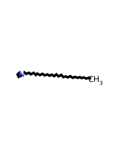 CCCCCCCCCCCCCCCCCCCCCCCCCCCCCCn1cccc1